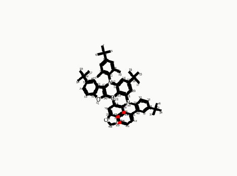 Cc1cc(C(C)(C)C)cc(C)c1N1c2cc(C(C)(C)C)cc3c2B(c2cc4c(cc2N3c2ccc(C(C)(C)C)cc2-c2ccccc2)OCO4)c2oc3ccc(C(C)(C)C)cc3c21